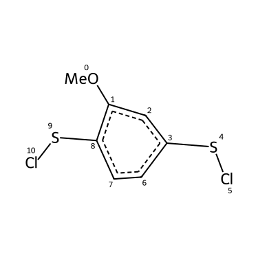 COc1cc(SCl)ccc1SCl